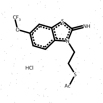 CC(=O)SCCn1c(=N)sc2cc(OC(F)(F)F)ccc21.Cl